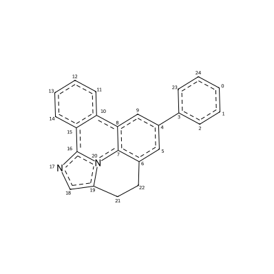 c1ccc(-c2cc3c4c(c2)c2ccccc2c2ncc(n24)CC3)cc1